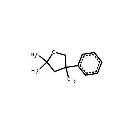 CC1(C)CC(C)(c2ccccc2)CO1